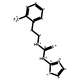 FC(F)(F)c1ccccc1CCNC(=S)Nc1nccs1